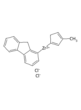 CC1=CC[C]([Zr+2][c]2cccc3c2Cc2ccccc2-3)=C1.[Cl-].[Cl-]